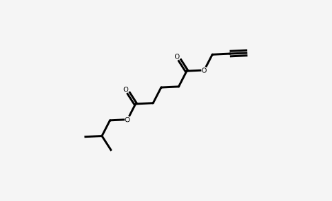 C#CCOC(=O)CCCC(=O)OCC(C)C